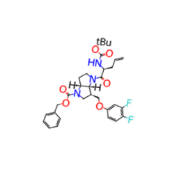 C=CC[C@H](NC(=O)OC(C)(C)C)C(=O)N1CC[C@@H]2[C@H]1[C@@H](COc1ccc(F)c(F)c1)CN2C(=O)OCc1ccccc1